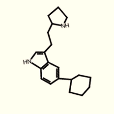 c1cc2[nH]cc(CCC3CCCN3)c2cc1C1CCCCC1